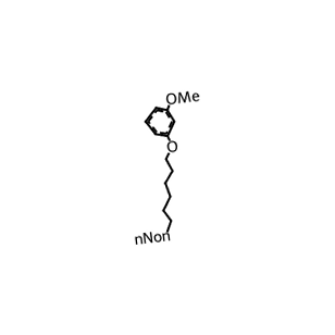 CCCCCCCCCCCCCCCOc1cccc(OC)c1